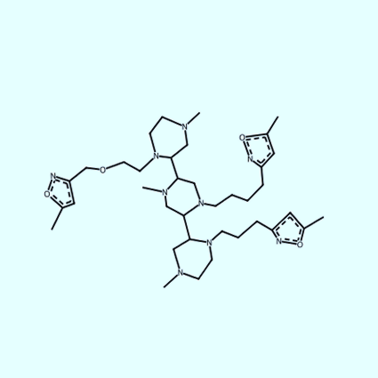 Cc1cc(CCCCN2CC(C3CN(C)CCN3CCOCc3cc(C)on3)N(C)CC2C2CN(C)CCN2CCCc2cc(C)on2)no1